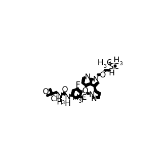 CCn1nccc1-c1cn(COCC[SiH](C)C)c2nccc(Oc3c(F)cc(NC(=O)NCC4(C)COC4)cc3F)c12